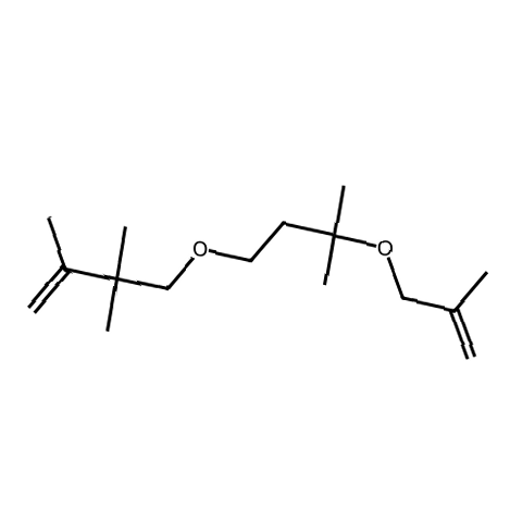 C=C(C)COC(C)(C)CCOCC(C)(C)C(=C)C